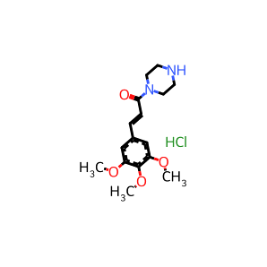 COc1cc(/C=C/C(=O)N2CCNCC2)cc(OC)c1OC.Cl